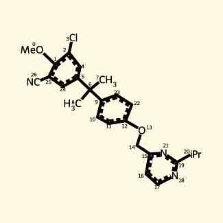 COc1c(Cl)cc(C(C)(C)c2ccc(OCc3ccnc(C(C)C)n3)cc2)cc1C#N